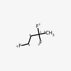 CC(F)(F)CCF